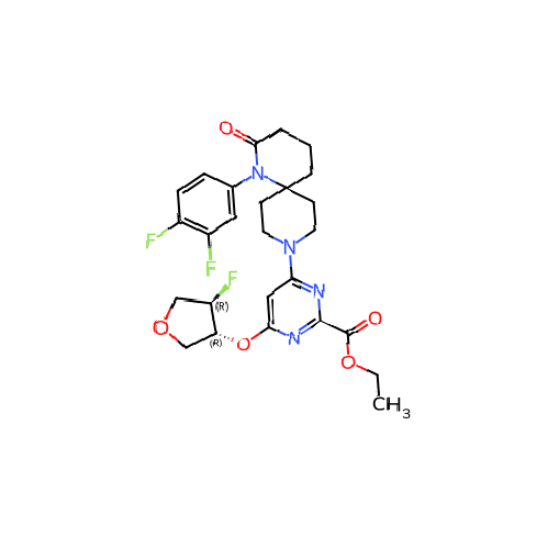 CCOC(=O)c1nc(O[C@@H]2COC[C@H]2F)cc(N2CCC3(CCCC(=O)N3c3ccc(F)c(F)c3)CC2)n1